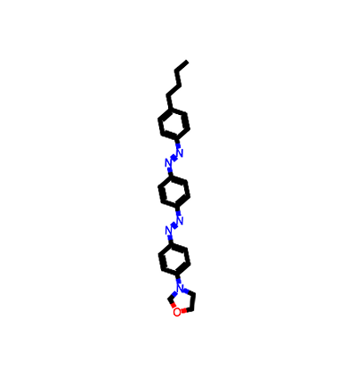 CCCCc1ccc(/N=N/c2ccc(/N=N/c3ccc(N4CCOC4)cc3)cc2)cc1